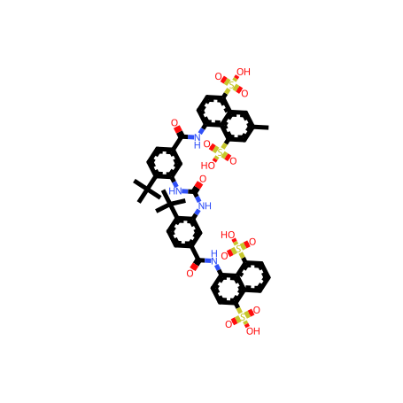 Cc1cc(S(=O)(=O)O)c2c(NC(=O)c3ccc(C(C)(C)C)c(NC(=O)Nc4cc(C(=O)Nc5ccc(S(=O)(=O)O)c6cccc(S(=O)(=O)O)c56)ccc4C(C)(C)C)c3)ccc(S(=O)(=O)O)c2c1